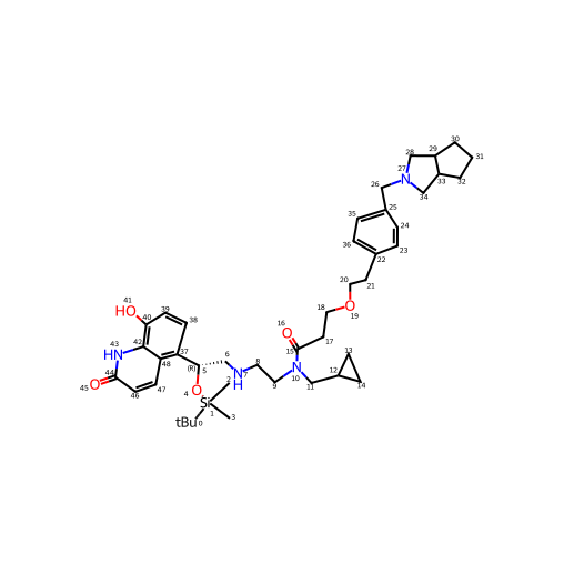 CC(C)(C)[Si](C)(C)O[C@@H](CNCCN(CC1CC1)C(=O)CCOCCc1ccc(CN2CC3CCCC3C2)cc1)c1ccc(O)c2[nH]c(=O)ccc12